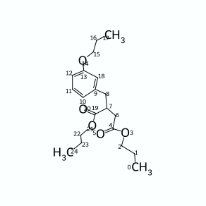 CCCOC(=O)CC(Cc1cccc(OCCC)c1)C(=O)OCCC